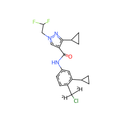 [2H]C([2H])(Cl)c1ccc(NC(=O)c2cn(CC(F)F)nc2C2CC2)cc1C1CC1